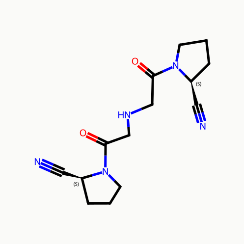 N#C[C@@H]1CCCN1C(=O)CNCC(=O)N1CCC[C@H]1C#N